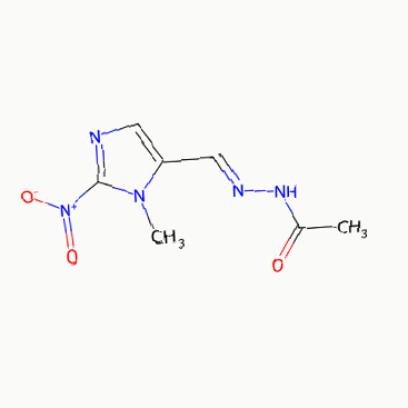 CC(=O)NN=Cc1cnc([N+](=O)[O-])n1C